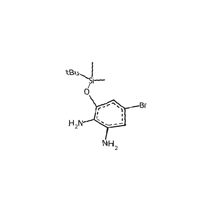 CC(C)(C)[Si](C)(C)Oc1cc(Br)cc(N)c1N